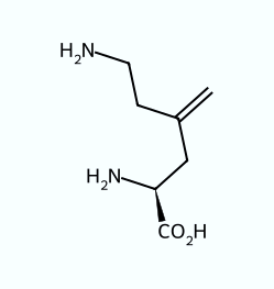 C=C(CCN)C[C@H](N)C(=O)O